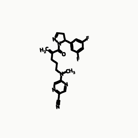 C=C(CCCN(C)c1cnc(C#N)cn1)C(=O)N1N=CCC1c1cc(F)cc(F)c1